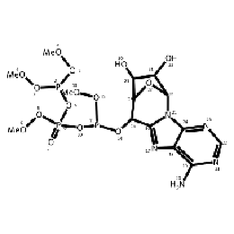 COOP(OOC)OP(=O)(OOC)OP(OOC)OC1c2nc3c(N)ncnc3n2C2OC1C(O)C2O